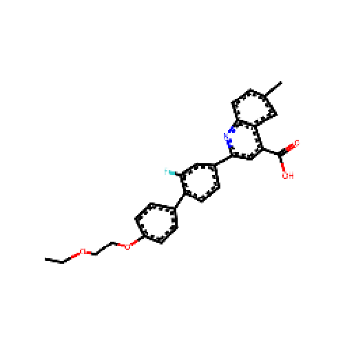 CCOCCOc1ccc(-c2ccc(-c3cc(C(=O)O)c4cc(C)ccc4n3)cc2F)cc1